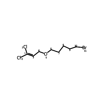 ClC(Cl)=CCOCCCCCBr